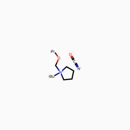 CC(C)OC[N+]1(C(C)(C)C)CCCC1.[N-]=C=O